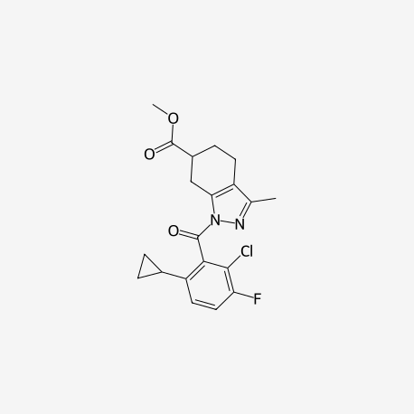 COC(=O)C1CCc2c(C)nn(C(=O)c3c(C4CC4)ccc(F)c3Cl)c2C1